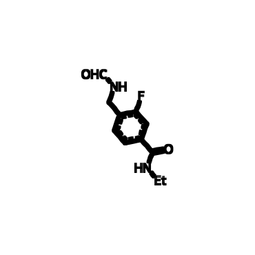 CCNC(=O)c1ccc(CNC=O)c(F)c1